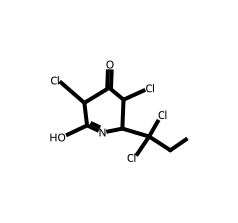 CCC(Cl)(Cl)C1N=C(O)C(Cl)C(=O)C1Cl